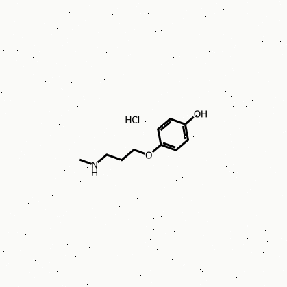 CNCCCOc1ccc(O)cc1.Cl